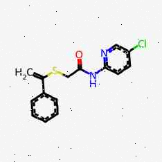 C=C(SCC(=O)Nc1ccc(Cl)cn1)c1ccccc1